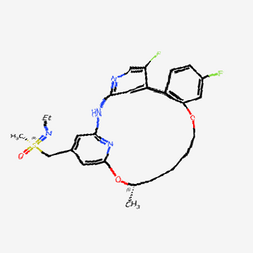 CCN=[S@](C)(=O)Cc1cc2nc(c1)O[C@@H](C)CCCCOc1cc(F)ccc1-c1cc(ncc1F)N2